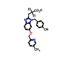 CCC(CC)(Cc1nc2ccc(OCc3ccc(C)cn3)cc2n1Cc1ccc(C#N)cc1)C(=O)O